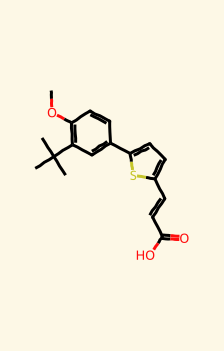 COc1ccc(-c2ccc(C=CC(=O)O)s2)cc1C(C)(C)C